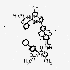 COC(=O)N[C@@H](C(=O)N1C[C@@H](C)C[C@H]1c1ncc(-c2cc3c4c(c2)COc2cc(-c5cnc([C@@H]6C[C@H](C)CN6C(=O)[C@H](NC(=O)OC)c6ccc(C7CCCCC7)cc6)[nH]5)cc(c2-4)CC3)[nH]1)c1ccccc1